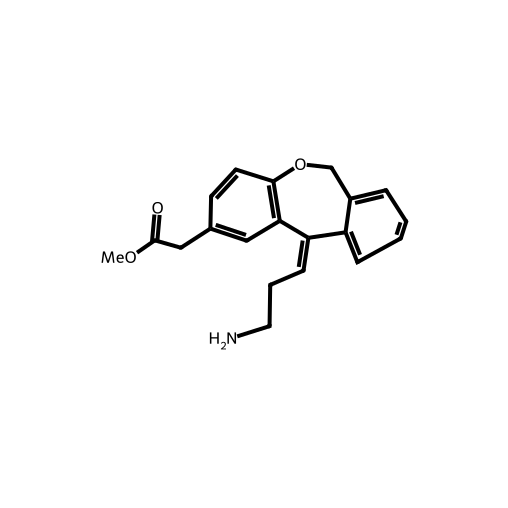 COC(=O)Cc1ccc2c(c1)/C(=C\CCN)c1ccccc1CO2